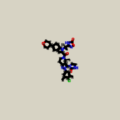 CC[C@](C)(c1noc(=O)[nH]1)n1c(C(=O)N2CCc3nn(-c4cc(C)c(Cl)c(C)c4)c(-n4cc[nH]c4=O)c3[C@@H]2C)cc2cc(C3CCOCC3)ccc21